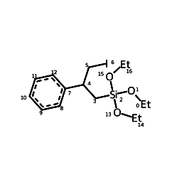 CCO[Si](CC(CI)c1ccccc1)(OCC)OCC